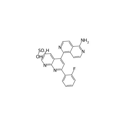 Nc1nccc2c(-c3cc(-c4ccccc4F)nc4ncccc34)nccc12.O=S(=O)(O)O